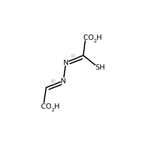 O=C(O)/C=N/N=C(\S)C(=O)O